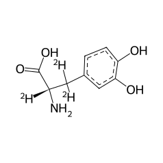 [2H]C([2H])(c1ccc(O)c(O)c1)[C@]([2H])(N)C(=O)O